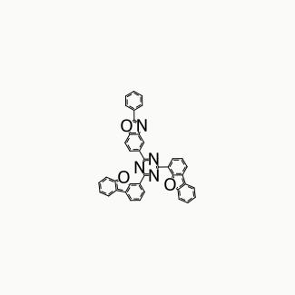 c1ccc(-c2nc3cc(-c4nc(-c5cccc6c5oc5ccccc56)nc(-c5cccc6c5oc5ccccc56)n4)ccc3o2)cc1